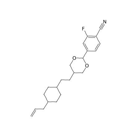 C=CCC1CCC(CCC2COC(c3ccc(C#N)c(F)c3)OC2)CC1